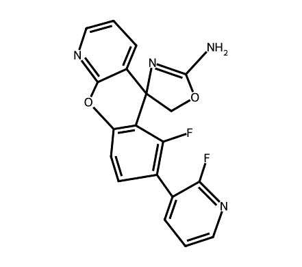 NC1=NC2(CO1)c1cccnc1Oc1ccc(-c3cccnc3F)c(F)c12